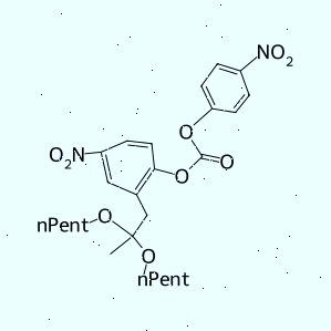 CCCCCOC(C)(Cc1cc([N+](=O)[O-])ccc1OC(=O)Oc1ccc([N+](=O)[O-])cc1)OCCCCC